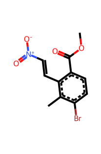 COC(=O)c1ccc(Br)c(C)c1C=C[N+](=O)[O-]